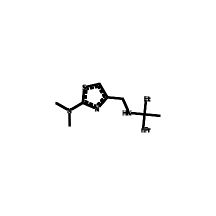 CCCC(C)(CC)NCc1csc(N(C)C)n1